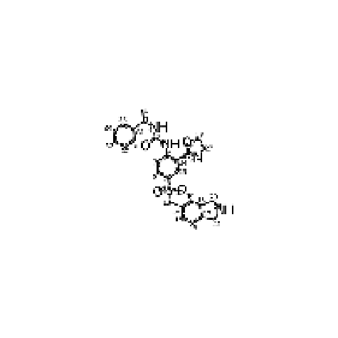 CC(NC(=O)Nc1ccc(S(=O)(=O)Cc2ccc3c(c2)CNC3)cc1-c1ncco1)c1ccccc1